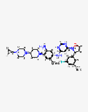 COc1cc(N2CCC(N3CCN(C4CC4)CC3)CC2)c(N)cc1Nc1cc(N2OCCC2c2cc(F)cc(C(F)(F)F)c2)ncn1